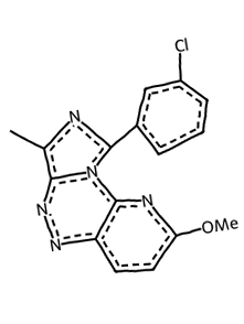 COc1ccc2nnc3c(C)nc(-c4cccc(Cl)c4)n3c2n1